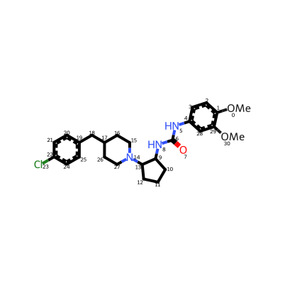 COc1ccc(NC(=O)NC2CCCC2N2CCC(Cc3ccc(Cl)cc3)CC2)cc1OC